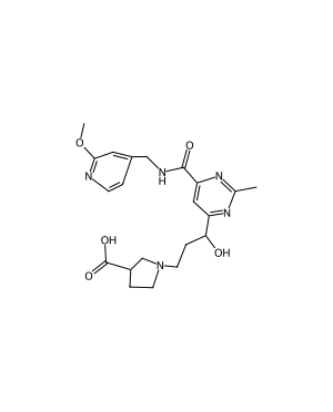 COc1cc(CNC(=O)c2cc(C(O)CCN3CCC(C(=O)O)C3)nc(C)n2)ccn1